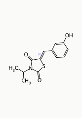 CC(C)N1C(=O)S/C(=C\c2cccc(O)c2)C1=O